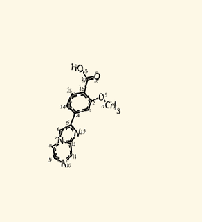 COc1cc(-c2cn3ccncc3n2)ccc1C(=O)O